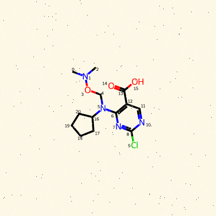 CN(C)OCN(c1nc(Cl)ncc1C(=O)O)C1CCCC1